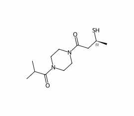 CC(C)C(=O)N1CCN(C(=O)C[C@H](C)S)CC1